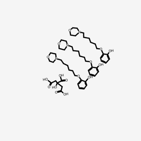 O=C(O)CC(O)(CC(=O)O)C(=O)O.Oc1ccccc1OCCCCCCN1CCOCC1.Oc1ccccc1OCCCCCCN1CCOCC1.Oc1ccccc1OCCCCCCN1CCOCC1